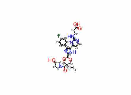 CC1(C(=O)N2CCC(O)C2)COC(c2nc(-c3ccc(F)cc3)c(-c3ccnc(NCCC(=O)O)n3)[nH]2)OC1